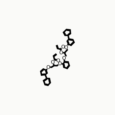 C=CC(=O)OC(COc1cccc(-c2ccccc2)c1)COc1ccccc1OCC(COc1cccc(-c2ccccc2)c1)OC(=O)C=C